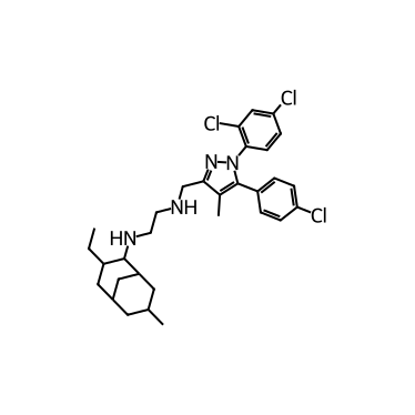 CCC1CC2CC(C)CC(C2)C1NCCNCc1nn(-c2ccc(Cl)cc2Cl)c(-c2ccc(Cl)cc2)c1C